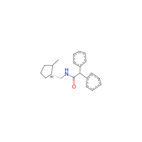 CC1CCC[C@H]1CNC(=O)C(c1ccccc1)c1ccccc1